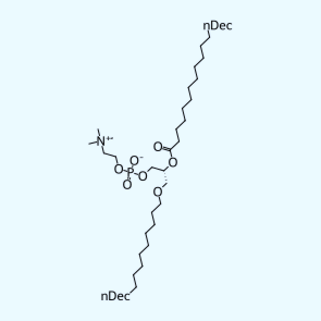 CCCCCCCCCCCCCCCCCCCCCC(=O)O[C@H](COCCCCCCCCCCCCCCCCCCC)COP(=O)([O-])OCC[N+](C)(C)C